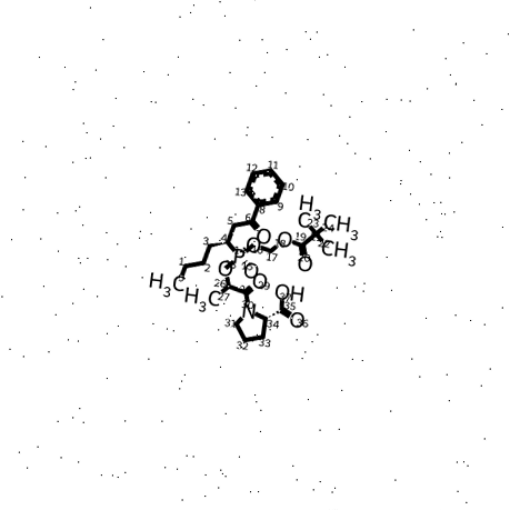 CCCC[C@@H](CC(=O)c1ccccc1)P(=O)(OCOC(=O)C(C)(C)C)OC(C)C(=O)N1CCC[C@H]1C(=O)O